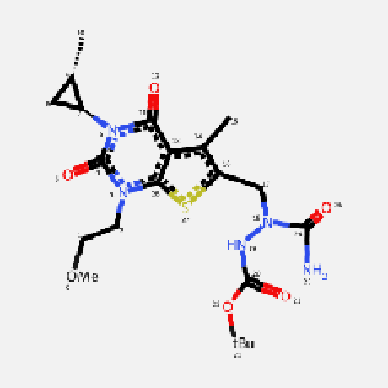 COCCn1c(=O)n([C@H]2C[C@@H]2C)c(=O)c2c(C)c(CN(NC(=O)OC(C)(C)C)C(N)=O)sc21